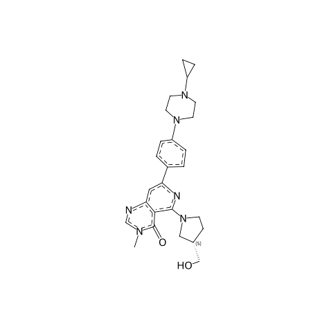 Cn1cnc2cc(-c3ccc(N4CCN(C5CC5)CC4)cc3)nc(N3CC[C@H](CO)C3)c2c1=O